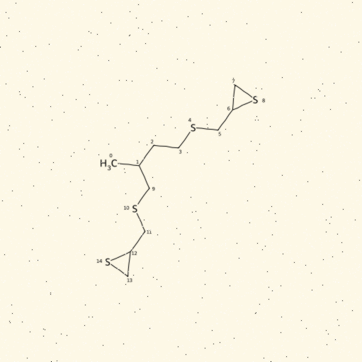 CC(CCSCC1CS1)CSCC1CS1